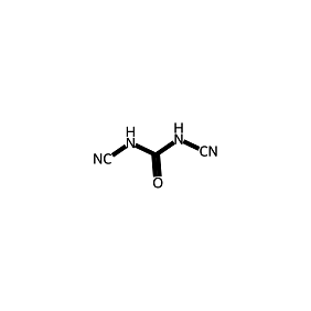 N#CNC(=O)NC#N